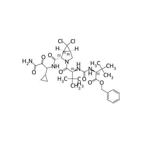 CC(C)(C)[C@H](NC(=O)N[C@H](C(=O)N1C[C@H]2[C@@H]([C@H]1C(=O)NC(C(=O)C(N)=O)C1CC1)C2(Cl)Cl)C(C)(C)C)C(=O)OCc1ccccc1